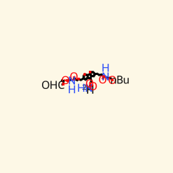 [2H]NC(=O)OCC1c2cc(CCCC(=O)NCCOCCCC)ccc2-c2ccc(CCCC(=O)NCCOC(=C)CC=O)cc21